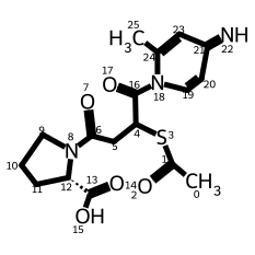 CC(=O)SC(CC(=O)N1CCC[C@H]1C(=O)O)C(=O)n1ccc(=N)cc1C